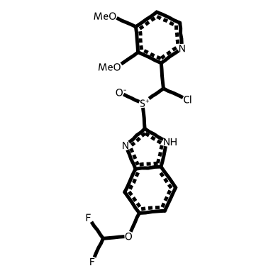 COc1ccnc(C(Cl)[S+]([O-])c2nc3cc(OC(F)F)ccc3[nH]2)c1OC